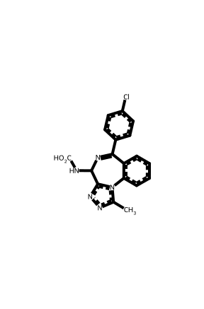 Cc1nnc2n1-c1ccccc1C(c1ccc(Cl)cc1)=NC2NC(=O)O